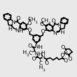 COc1cc2c(cc1OCc1cc(COc3cc4c(cc3OC)C(=O)N3c5ccccc5C[C@H]3CN4)cc(NC(=O)[C@H](C)NC(=O)[C@H](C)NC(=O)CCCCC(=O)ON3C(=O)CCC3=O)c1)N=C[C@@H]1Cc3ccccc3N1C2=O